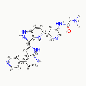 CN(C)CC(=O)Nc1cncc(-c2ccc3[nH]nc(-c4cc5c(-c6ccncc6)ccnc5[nH]4)c3n2)c1